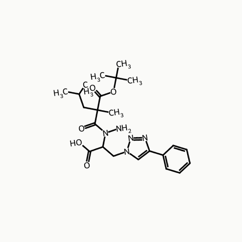 CC(C)CC(C)(C(=O)OC(C)(C)C)C(=O)N(N)C(Cn1cc(-c2ccccc2)nn1)C(=O)O